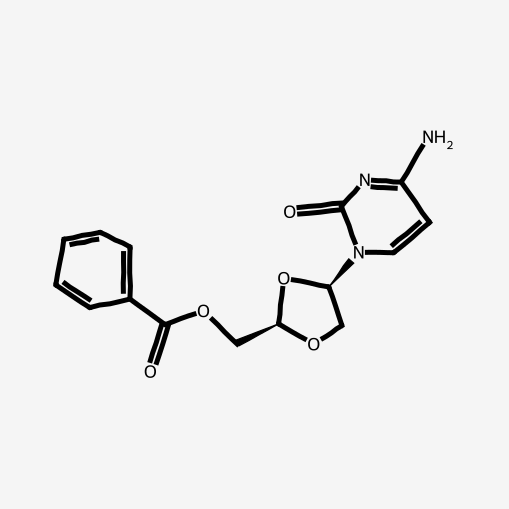 Nc1ccn([C@H]2CO[C@@H](COC(=O)c3ccccc3)O2)c(=O)n1